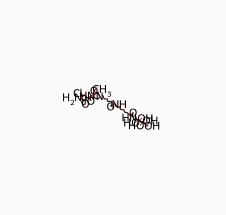 CO[C@H]1CN(CCCCCC(=O)NCCCCCCCC(=O)NC[C@H](O)[C@@H](O)[C@H](O)[C@H](O)CO)CC[C@H]1NC(=O)c1cc(Cl)c(N)c2c1OCC2